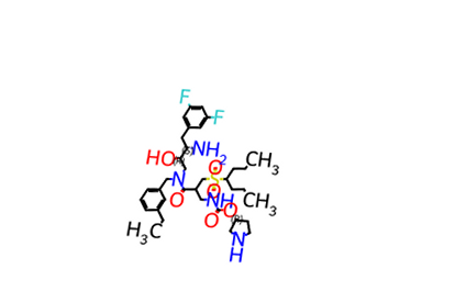 CCCC(CCC)S(=O)(=O)CC(CNC(=O)O[C@@H]1CCNC1)C(=O)N(Cc1cccc(CC)c1)C[C@@H](O)[C@@H](N)Cc1cc(F)cc(F)c1